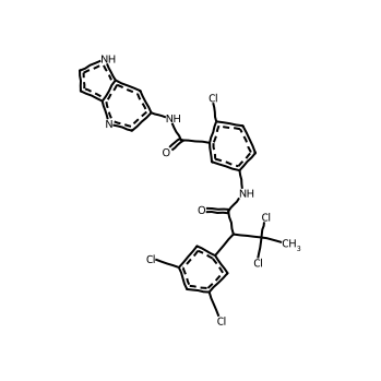 CC(Cl)(Cl)C(C(=O)Nc1ccc(Cl)c(C(=O)Nc2cnc3cc[nH]c3c2)c1)c1cc(Cl)cc(Cl)c1